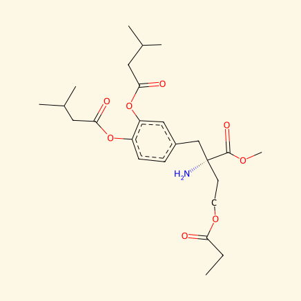 CCC(=O)OCC[C@@](N)(Cc1ccc(OC(=O)CC(C)C)c(OC(=O)CC(C)C)c1)C(=O)OC